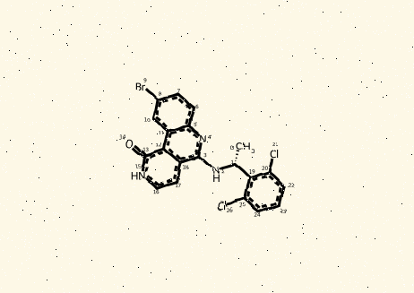 C[C@@H](Nc1nc2ccc(Br)cc2c2c(=O)[nH]ccc12)c1c(Cl)cccc1Cl